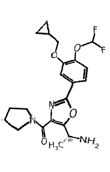 C[C@@H](N)c1oc(-c2ccc(OC(F)F)c(OCC3CC3)c2)nc1C(=O)N1C[CH]CC1